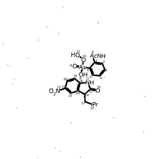 CC(=O)Nc1ccccc1[As](=O)(O)OO.CC(C)CC1C(=O)Nc2ccc([N+](=O)[O-])cc21